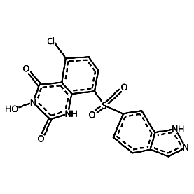 O=c1[nH]c2c(S(=O)(=O)c3ccc4cn[nH]c4c3)ccc(Cl)c2c(=O)n1O